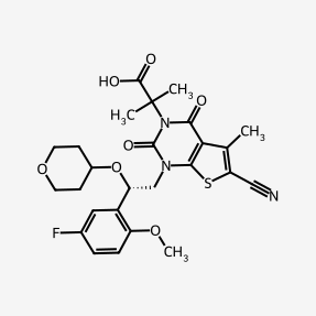 COc1ccc(F)cc1[C@@H](Cn1c(=O)n(C(C)(C)C(=O)O)c(=O)c2c(C)c(C#N)sc21)OC1CCOCC1